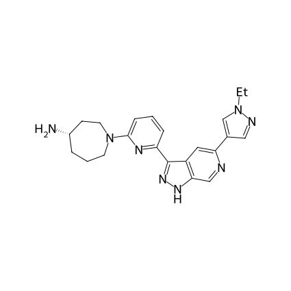 CCn1cc(-c2cc3c(-c4cccc(N5CCC[C@H](N)CC5)n4)n[nH]c3cn2)cn1